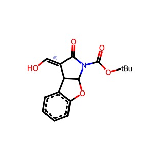 CC(C)(C)OC(=O)N1C(=O)/C(=C/O)C2c3ccccc3OC21